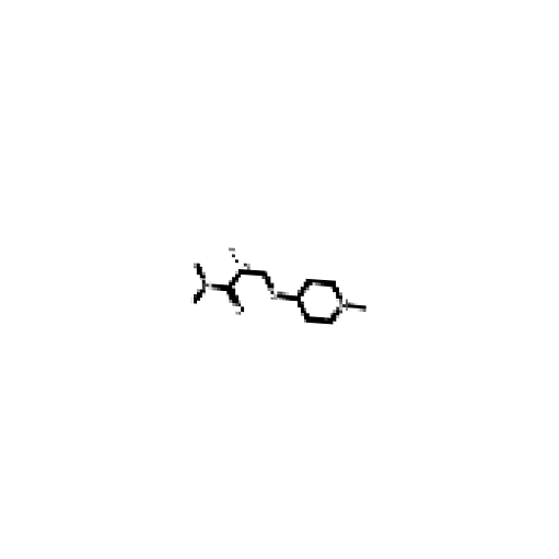 C[C@H](CSC1CCN(C)CC1)C(=O)N(C)C